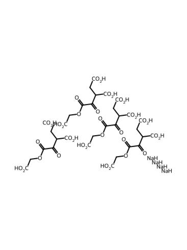 O=C(O)COC(=O)C(=O)C(CC(=O)O)C(=O)O.O=C(O)COC(=O)C(=O)C(CC(=O)O)C(=O)O.O=C(O)COC(=O)C(=O)C(CC(=O)O)C(=O)O.O=C(O)COC(=O)C(=O)C(CC(=O)O)C(=O)O.[NaH].[NaH].[NaH].[NaH]